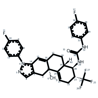 C[C@]12Cc3cnn(-c4ccc(F)cc4)c3C=C1CC[C@H]1C2=CC[C@@H](C(F)(F)F)[C@@H]1NC(=O)Nc1ccc(F)cc1